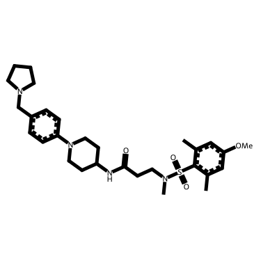 COc1cc(C)c(S(=O)(=O)N(C)CCC(=O)NC2CCN(c3ccc(CN4CCCC4)cc3)CC2)c(C)c1